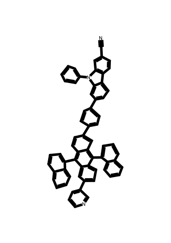 N#Cc1ccc2c3ccc(-c4ccc(-c5ccc6c(-c7cccc8ccccc78)c7cc(-c8cccnc8)ccc7c(-c7cccc8ccccc78)c6c5)cc4)cc3n(-c3ccccc3)c2c1